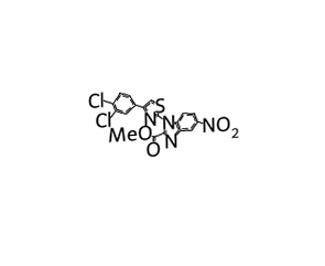 COC(=O)c1nc2cc([N+](=O)[O-])ccc2n1-c1nc(-c2ccc(Cl)c(Cl)c2)cs1